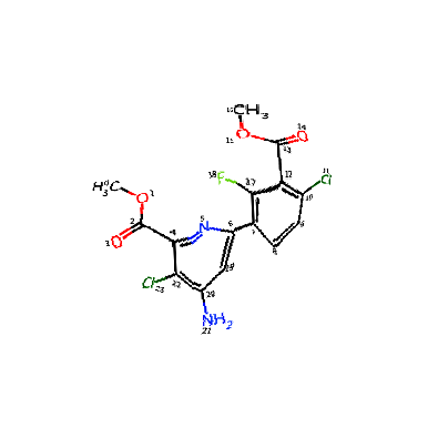 COC(=O)c1nc(-c2ccc(Cl)c(C(=O)OC)c2F)cc(N)c1Cl